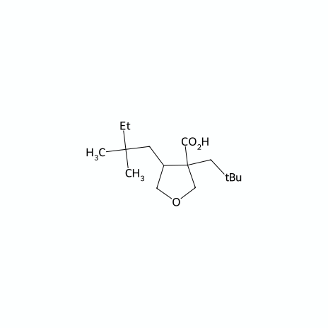 CCC(C)(C)CC1COCC1(CC(C)(C)C)C(=O)O